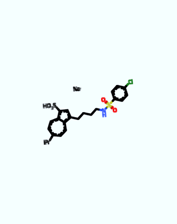 CC(C)c1ccc2c(CCCCNS(=O)(=O)c3ccc(Cl)cc3)cc(S(=O)(=O)O)c-2cc1.[Na]